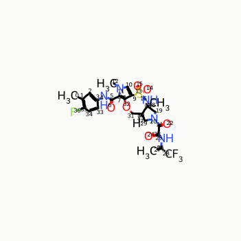 Cc1cc(NC(=O)c2c3c(cn2C)S(=O)(=O)N[C@@]2(C)CN(C(=O)C(=O)N[C@H](C)C(F)(F)F)C[C@H]2CO3)ccc1F